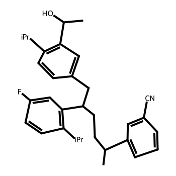 CC(C)c1ccc(CC(CCC(C)c2cccc(C#N)c2)c2cc(F)ccc2C(C)C)cc1C(C)O